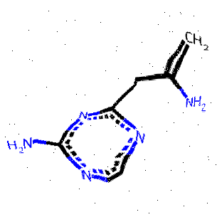 C=C(N)Cc1ncnc(N)n1